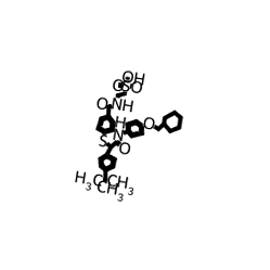 CC(C)(C)c1ccc(C(Sc2ccc(C(=O)NCCS(=O)(=O)O)cc2)C(=O)Nc2ccc(OCC3CCCCC3)cc2)cc1